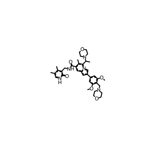 COc1cc(-c2cc3cc(C(=O)NCc4c(C)c(C)c[nH]c4=O)c(C)c(C(C)N4CCOCC4)n3c2)cc(OC)c1CN1CCOCC1